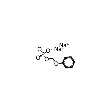 O=P([O-])([O-])OCOc1ccccc1.[Na+].[Na+]